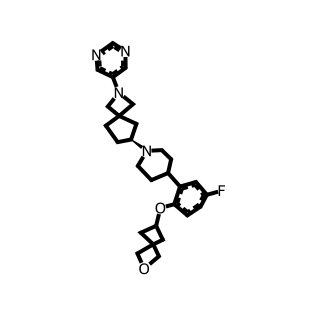 Fc1ccc(OC2CC3(COC3)C2)c(C2CCN([C@H]3CCC4(C3)CN(c3cncnc3)C4)CC2)c1